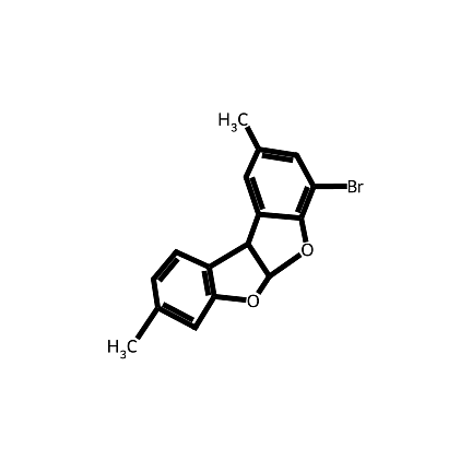 Cc1ccc2c(c1)OC1Oc3c(Br)cc(C)cc3C21